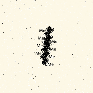 COc1cccc2c1oc(=O)c1cc3c(cc12)c(=O)oc1c(OC)c2c(oc(=O)c4cc5c(cc42)c(=O)oc2c(OC)c4c(oc(=O)c6cc7c(cc64)c(=O)oc4c(OC)c6c(oc(=O)c8cc9c(cc86)c(=O)oc6c(OC)c8c(cc69)oc(=O)c6ccccc68)c(OC)c47)c(OC)c25)c(OC)c13